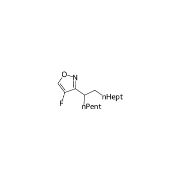 CCCCCCCCC(CCCCC)c1nocc1F